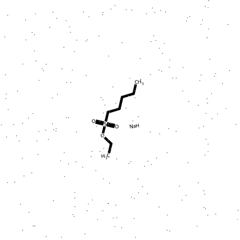 CCCCCS(=O)(=O)OCC.[NaH]